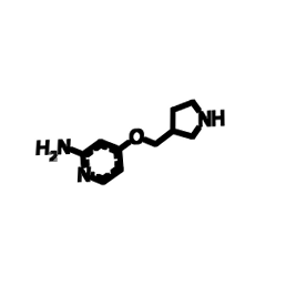 Nc1cc(OCC2CCNC2)ccn1